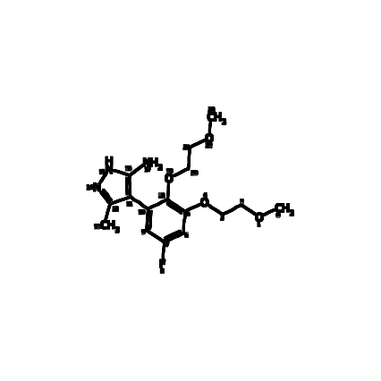 COCCOc1cc(F)cc(-c2c(C)n[nH]c2N)c1OCCOC